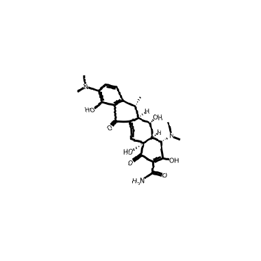 C[C@H]1c2ccc(N(C)C)c(O)c2C(=O)C2=C[C@]3(O)C(=O)C(C(N)=O)=C(O)[C@@H](N(C)C)[C@@H]3[C@@H](O)[C@@H]21